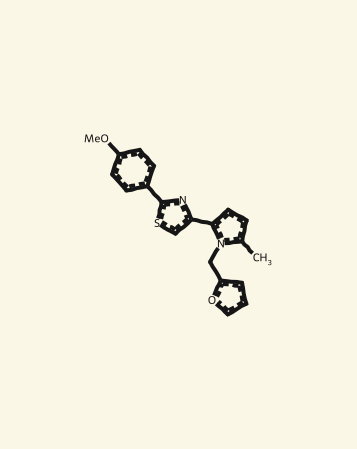 COc1ccc(-c2nc(-c3ccc(C)n3Cc3ccco3)cs2)cc1